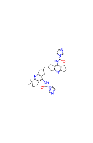 CC1(C)CCc2c1nc1c(c2NC(=O)n2ccnc2)CC(CC2Cc3nc4c(c(NC(=O)n5ccnc5)c3C2)CCC4)C1